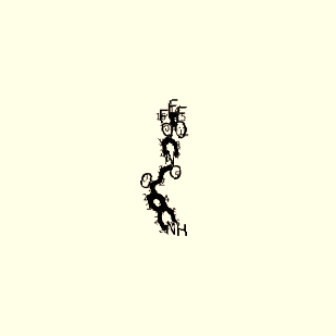 O=C(CCC(=O)N1CCC(OC(=O)C(F)(F)F)CC1)c1ccc2c(c1)CCNCC2